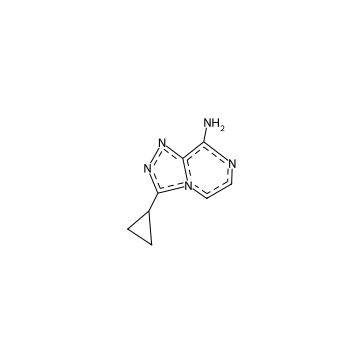 Nc1nccn2c(C3CC3)nnc12